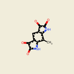 Cc1c2[nH]c(=O)c(=O)c2cc2c(=O)c(=O)[nH]c12